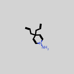 C=CCC1(CC=C)C=CN(N)C=C1